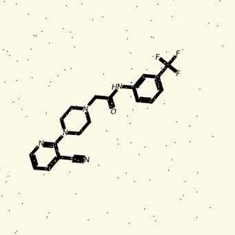 N#Cc1cccnc1N1CCN(CC(=O)Nc2cccc(C(F)(F)F)c2)CC1